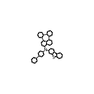 c1ccc(-c2ccc(N(c3ccc4c(c3)sc3ccccc34)c3ccc4c5c(cccc35)-c3ccccc3-c3ccccc3-4)cc2)cc1